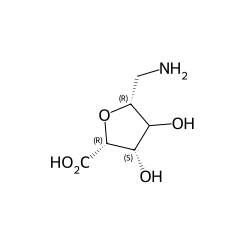 NC[C@H]1O[C@@H](C(=O)O)[C@@H](O)C1O